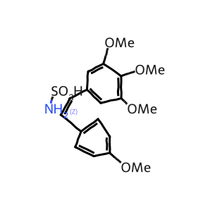 COc1ccc(/C=C\c2cc(OC)c(OC)c(OC)c2)cc1.NS(=O)(=O)O